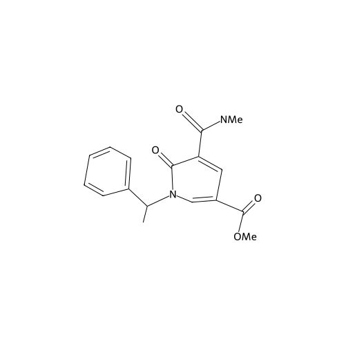 CNC(=O)c1cc(C(=O)OC)cn(C(C)c2ccccc2)c1=O